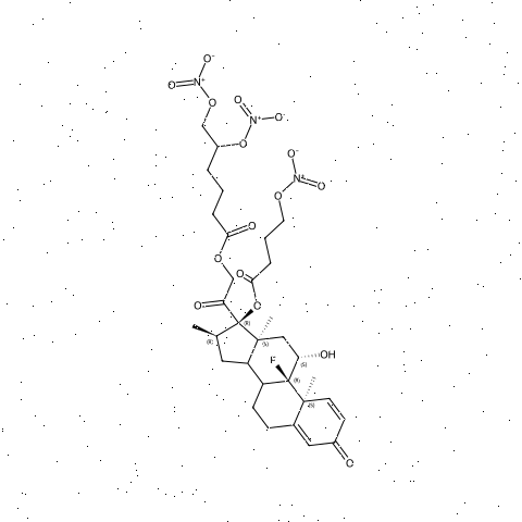 C[C@@H]1CC2C3CCC4=CC(=O)C=C[C@]4(C)[C@@]3(F)[C@@H](O)C[C@]2(C)[C@@]1(OC(=O)CCCO[N+](=O)[O-])C(=O)COC(=O)CCCC(CO[N+](=O)[O-])O[N+](=O)[O-]